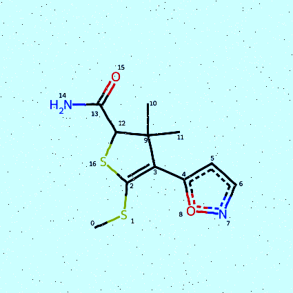 CSC1=C(c2ccno2)C(C)(C)C(C(N)=O)S1